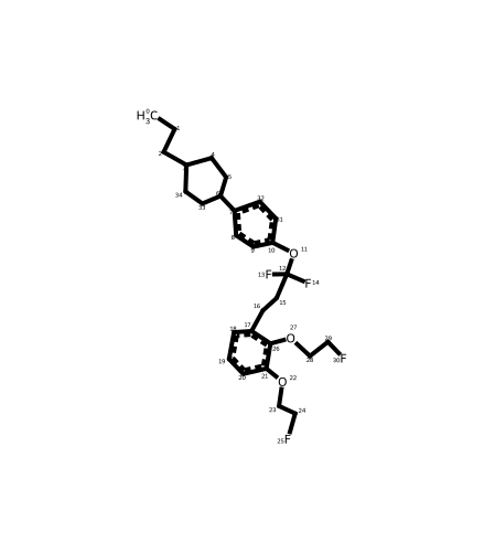 CCCC1CCC(c2ccc(OC(F)(F)CCc3cccc(OCCF)c3OCCF)cc2)CC1